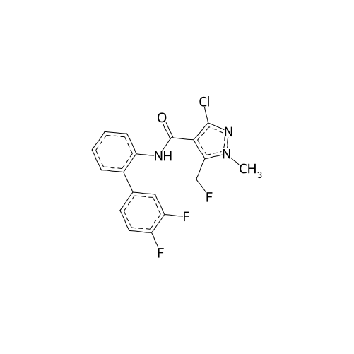 Cn1nc(Cl)c(C(=O)Nc2ccccc2-c2ccc(F)c(F)c2)c1CF